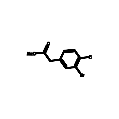 COC(=O)Cc1ccc(Cl)c(Br)c1